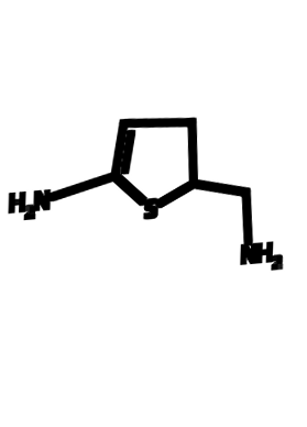 NCC1CC=C(N)S1